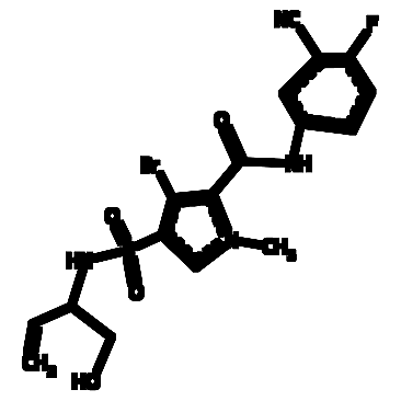 C=CC(CO)NS(=O)(=O)c1cn(C)c(C(=O)Nc2ccc(F)c(C#N)c2)c1Br